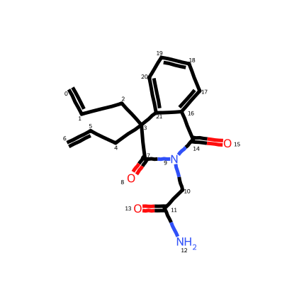 C=CCC1(CC=C)C(=O)N(CC(N)=O)C(=O)c2ccccc21